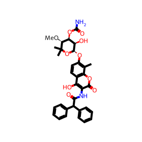 CO[C@@H]1[C@@H](OC(N)=O)[C@@H](O)[C@H](Oc2ccc3c(O)c(NC(=O)C(c4ccccc4)c4ccccc4)c(=O)oc3c2C)OC1(C)C